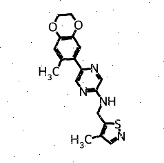 Cc1cc2c(cc1-c1cnc(NCc3sncc3C)cn1)OCCO2